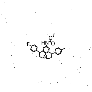 CCOC(=O)Nc1cc2c3c(c1)C(c1ccc(F)cc1)CCN3CCC2c1ccc(C)cc1